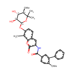 COc1ccc(C(=O)Nc2cc3ccc(O[C@@H]4OC(C)(C)[C@H](OC)[C@@H](O)[C@@H]4O)c(C)c3oc2=O)cc1-c1ccccc1